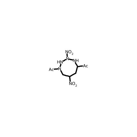 CC(=O)C1CC([N+](=O)[O-])CN(C(C)=O)NN([N+](=O)[O-])N1